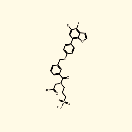 CS(=O)(=O)CCCN(CC(=O)O)C(=O)c1cccc(COc2ccc(-c3cc(F)c(F)c4ccoc34)cc2)c1